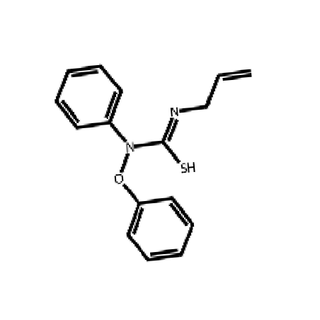 C=CCN=C(S)N(Oc1ccccc1)c1ccccc1